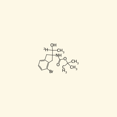 [2H]C(C)(O)C1(NC(=O)OC(C)(C)C)Cc2cccc(Br)c2C1